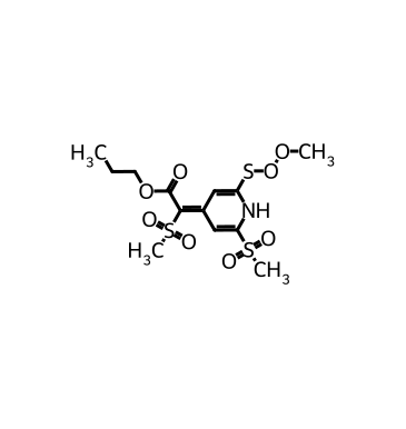 CCCOC(=O)/C(=C1\C=C(SOOC)NC(S(C)(=O)=O)=C1)S(C)(=O)=O